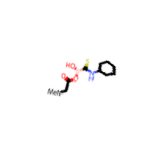 CNCC(=O)OB(O)C(=S)NC1CCCCC1